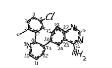 Cc1ccc(Cl)cc1-c1ncccc1-c1ccc2ncnc(N)c2c1